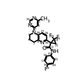 Cc1cc(N2CCCc3nc(C4(C(=O)Nc5ccc(F)cc5)CC4(F)F)ccc32)ncn1